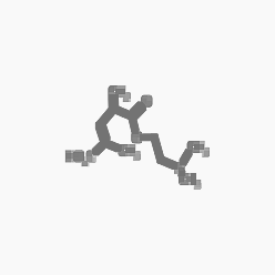 C=C(C=C(C)C(=O)O)C(=O)OCCN(C)C